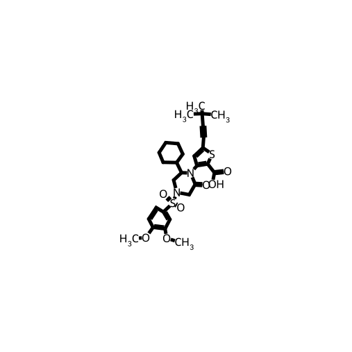 COc1ccc(S(=O)(=O)N2CC(=O)N(c3cc(C#CC(C)(C)C)sc3C(=O)O)C(C3CCCCC3)C2)cc1OC